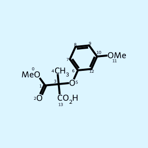 COC(=O)C(C)(Oc1cccc(OC)c1)C(=O)O